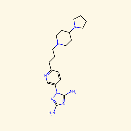 Nc1nc(N)n(-c2ccc(CCCN3CCC(N4CCCC4)CC3)nc2)n1